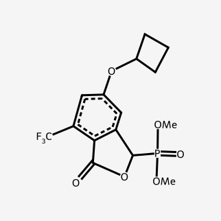 COP(=O)(OC)C1OC(=O)c2c1cc(OC1CCC1)cc2C(F)(F)F